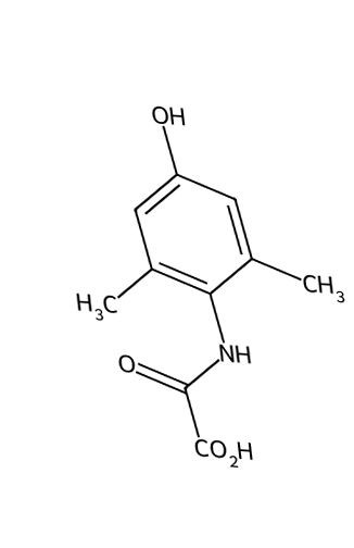 Cc1cc(O)cc(C)c1NC(=O)C(=O)O